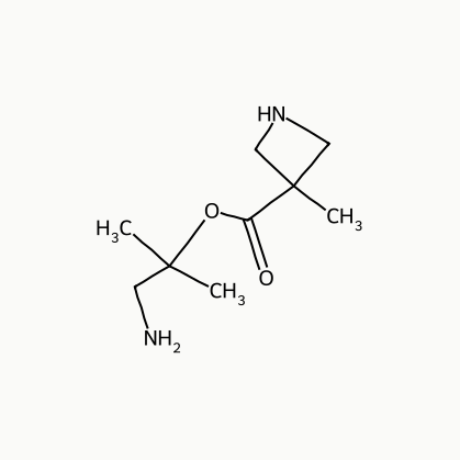 CC(C)(CN)OC(=O)C1(C)CNC1